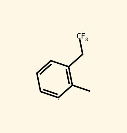 Cc1[c]cccc1CC(F)(F)F